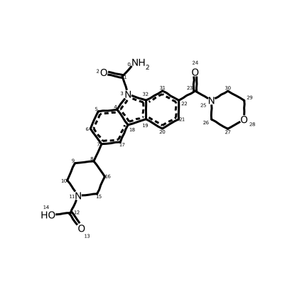 NC(=O)n1c2ccc(C3CCN(C(=O)O)CC3)cc2c2ccc(C(=O)N3CCOCC3)cc21